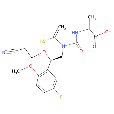 C=C(S)N(C[C@H](OCCC#N)c1cc(F)ccc1OC)C(=O)NC(C)C(=O)O